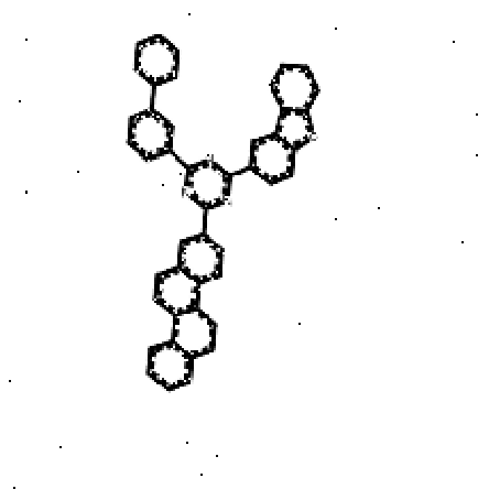 c1ccc(-c2cccc(-c3nc(-c4ccc5c(ccc6c7ccccc7ccc56)c4)nc(-c4ccc5oc6ccccc6c5c4)n3)c2)cc1